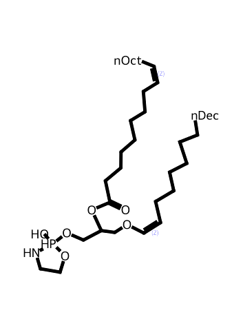 CCCCCCCC/C=C\CCCCCCCC(=O)OC(CO/C=C\CCCCCCCCCCCCCCCC)CO[PH]1(O)NCCO1